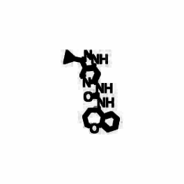 O=C(Nc1cc2[nH]nc(C3CC3)c2cn1)N[C@@H]1CCCOc2ccccc21